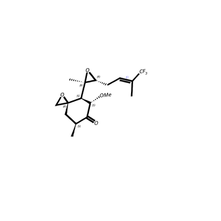 CO[C@@H]1C(=O)[C@@H](C)C[C@]2(CO2)[C@H]1[C@@]1(C)O[C@@H]1C/C=C(\C)C(F)(F)F